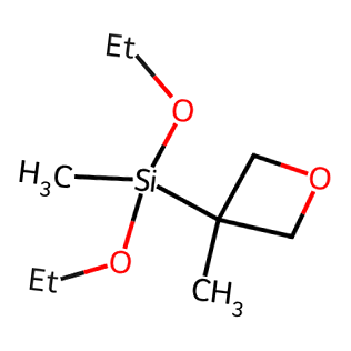 CCO[Si](C)(OCC)C1(C)COC1